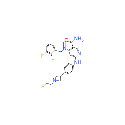 NC(=O)c1cnc(Nc2ccc(C3CN(CCF)C3)cc2)cc1NCc1cccc(F)c1F